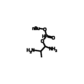 CCCCO[PH](=O)OC(N)C(C)N